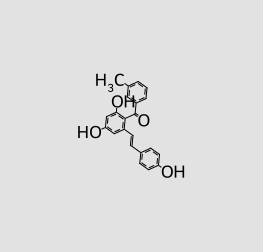 Cc1cccc(C(=O)c2c(O)cc(O)cc2C=Cc2ccc(O)cc2)c1